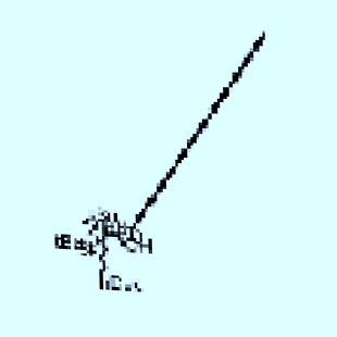 CC#CC#CC#CC#CC#CC#CC#CC#CC#CC#CC#CC#CC(=O)N[C@@H](CO)[C@H](O[Si](C)(C)C(C)(C)C)[C@@H](CCCCCCCCCCCCCC)O[Si](C)(C)C(C)(C)C